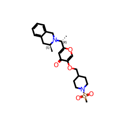 C[C@H](c1cc(=O)c(OCC2CCN(S(C)(=O)=O)CC2)co1)N1Cc2ccccc2C[C@@H]1C